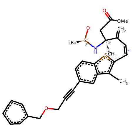 C=C(/C=C\c1sc2ccc(C#CCOCc3ccccc3)cc2c1C)[C@](C)(CC(=O)OC)N[S@+]([O-])C(C)(C)C